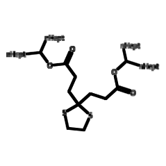 CCCCCCCC(CCCCCCC)OC(=O)CCC1(CCC(=O)OC(CCCCCCC)CCCCCCC)SCCS1